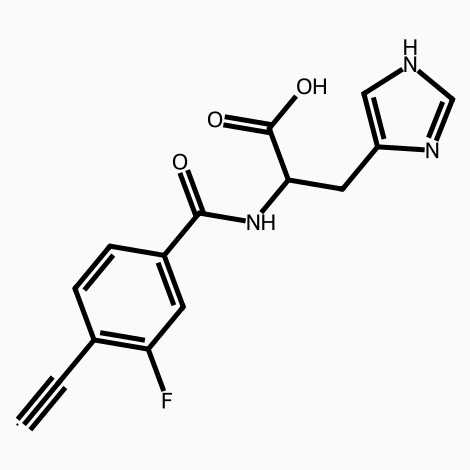 [C]#Cc1ccc(C(=O)NC(Cc2c[nH]cn2)C(=O)O)cc1F